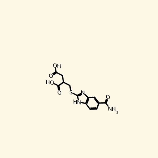 NC(=O)c1ccc2[nH]c(SCC(CC(=O)O)C(=O)O)nc2c1